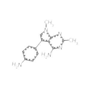 Cc1nc(N)c2c(-c3ccc(N)cc3)cn(C)c2n1